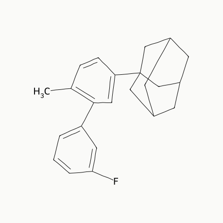 Cc1ccc(C23CC4CC(CC(C4)C2)C3)cc1-c1cccc(F)c1